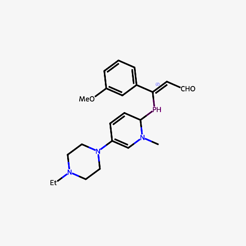 CCN1CCN(C2=CN(C)C(P/C(=C\C=O)c3cccc(OC)c3)C=C2)CC1